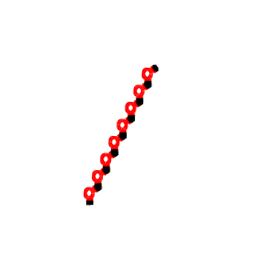 COCOCOCOCOCOCOCOC